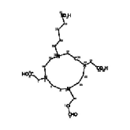 O=COCN1CCN(CC(=O)O)CCN(CCCCS(=O)(=O)O)CCN(CC(=O)O)CC1